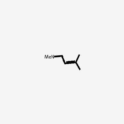 CNCC=C(C)C